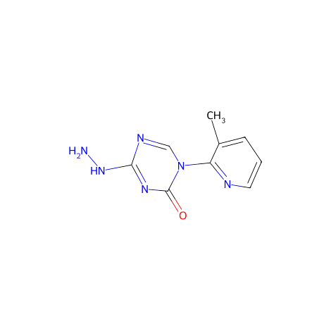 Cc1cccnc1-n1cnc(NN)nc1=O